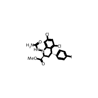 COC(=O)[C@@H]1C[C@@H](c2ccc(I)cc2)c2c(Cl)cc(Cl)cc2N1NC(N)=O